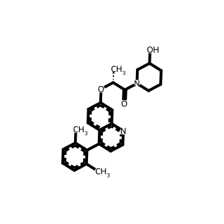 Cc1cccc(C)c1-c1ccnc2cc(O[C@H](C)C(=O)N3CCCC(O)C3)ccc12